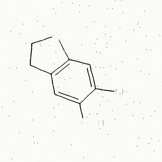 Nc1cc2c(cc1C(=O)O)CCO2